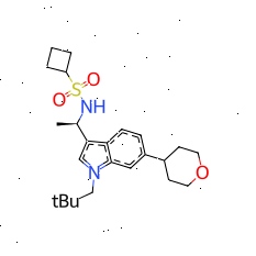 C[C@@H](NS(=O)(=O)C1CCC1)c1cn(CC(C)(C)C)c2cc(C3CCOCC3)ccc12